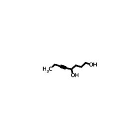 CCC#CC(O)CCCO